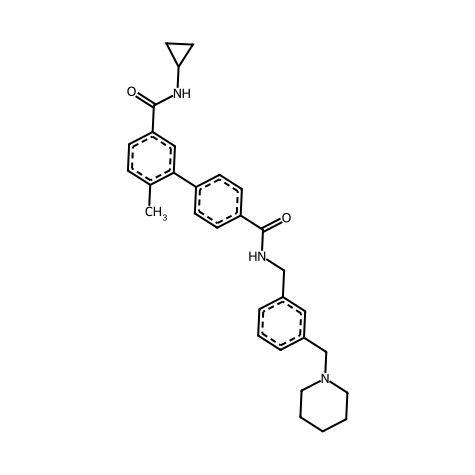 Cc1ccc(C(=O)NC2CC2)cc1-c1ccc(C(=O)NCc2cccc(CN3CCCCC3)c2)cc1